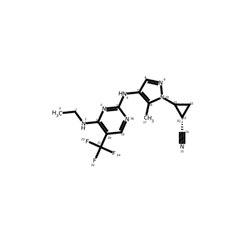 CCNc1nc(Nc2cnn(C3C[C@@H]3C#N)c2C)ncc1C(F)(F)F